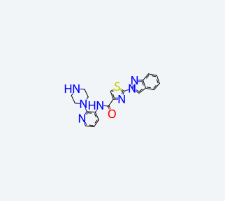 O=C(Nc1cccnc1N1CCNCC1)c1csc(-n2cc3ccccc3n2)n1